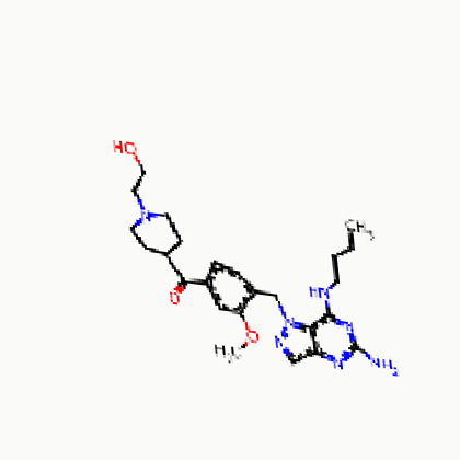 CCCCNc1nc(N)nc2cnn(Cc3ccc(C(=O)C4CCN(CCO)CC4)cc3OC)c12